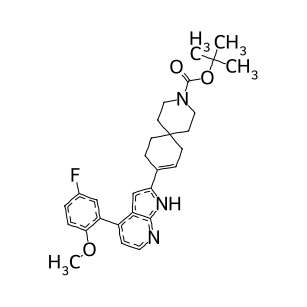 COc1ccc(F)cc1-c1ccnc2[nH]c(C3=CCC4(CC3)CCN(C(=O)OC(C)(C)C)CC4)cc12